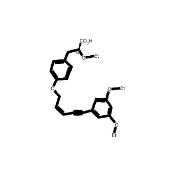 CCOc1cc(C#C/C=C\COc2ccc(C[C@H](OCC)C(=O)O)cc2)cc(OCC)c1